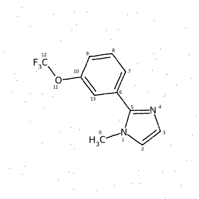 Cn1ccnc1-c1cccc(OC(F)(F)F)c1